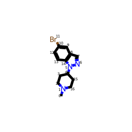 CN1CCC(n2ncc3cc(Br)ccc32)CC1